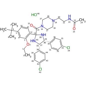 CCOc1cc(C(C)(C)C)ccc1C1(C(=O)N2CCN(CCNC(C)=O)CC2)N[C@H](c2ccc(Cl)cc2)[C@H](c2ccc(Cl)cc2)N1.Cl